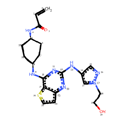 C=CC(=O)N[C@H]1CC[C@@H](Nc2nc(Nc3cnn(CCO)c3)nc3ccsc23)CC1